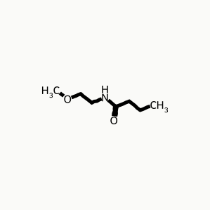 CCCC(=O)NCCOC